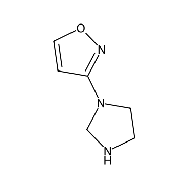 c1cc(N2CCNC2)no1